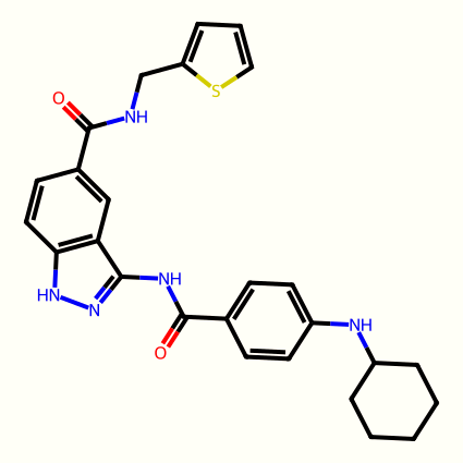 O=C(NCc1cccs1)c1ccc2[nH]nc(NC(=O)c3ccc(NC4CCCCC4)cc3)c2c1